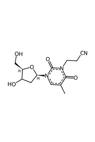 Cc1cn([C@H]2CC(O)[C@@H](CO)O2)c(=O)n(CCC#N)c1=O